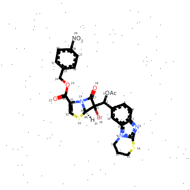 CC(=O)OC(c1ccc2nc3n(c2c1)CCCS3)C1(Br)C(=O)N2C(C(=O)OCc3ccc([N+](=O)[O-])cc3)=CS[C@@H]21